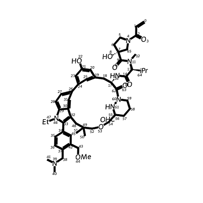 C=CC(=O)N1CC[C@](O)(C(=O)N(C)[C@H](C(=O)N[C@H]2Cc3cc(O)cc(c3)-c3ccc4c(c3)c(c(-c3ccc(CN(C)C)c(COC)c3)n4CC)CC(C)(C)COCC3(C=O)CCCN(N3)C2=O)C(C)C)C1